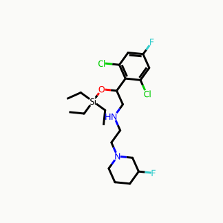 CC[Si](CC)(CC)OC(CNCCN1CCCC(F)C1)c1c(Cl)cc(F)cc1Cl